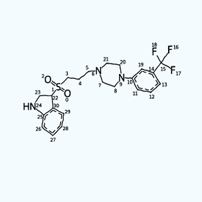 O=S(=O)(CCCN1CCN(c2cccc(C(F)(F)F)c2)CC1)C1CNc2ccccc21